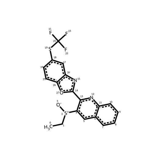 CC[S+]([O-])c1cc2ccccc2nc1-c1nc2cc(SC(F)(F)F)ccc2o1